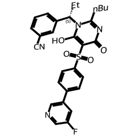 CCCCc1nc(=O)c(S(=O)(=O)c2ccc(-c3cncc(F)c3)cc2)c(O)n1[C@@H](CC)c1cccc(C#N)c1